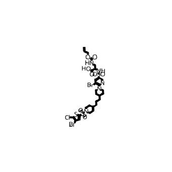 C=CCOC(=O)NCC(NS(=O)(=O)c1cnc(N2CCC(CCCC3CCN(S(=O)(=O)c4cc(Br)c(Cl)s4)CC3)CC2)c(Br)c1)C(=O)O